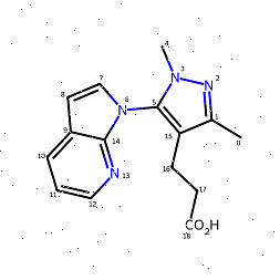 Cc1nn(C)c(-n2ccc3cccnc32)c1CCC(=O)O